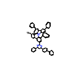 CC(C)(C)c1ccc(-c2cc(-c3nc(-c4ccccc4)cc(-c4ccc(-c5ccccc5)cc4)n3)cc(-c3ccccc3)c2-n2c3ccc(-c4ccccc4)cc3c3cc(-c4ccccc4)ccc32)cc1